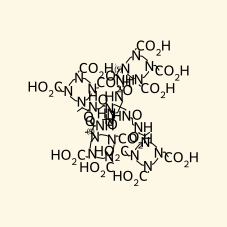 CC(C(=O)NCC(=O)NCC(CNC(=O)CNC(=O)C(C)N1CCN(CC(=O)O)CCN(CC(=O)O)CCN(CC(=O)O)CC1)(CNC(=O)CNC(=O)[C@H](C)N1CCN(CC(=O)O)CCN(CC(=O)O)CCN(CC(=O)O)CC1)CNC(=O)CNC(=O)[C@H](C)N1CCN(CC(=O)O)CCN(CC(=O)O)CCN(CC(=O)O)CC1)N1CCN(CC(=O)O)CCN(CC(=O)O)CCN(CC(=O)O)CC1